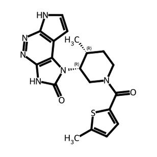 Cc1ccc(C(=O)N2CC[C@@H](C)[C@@H](n3c(=O)[nH]c4nnc5[nH]ccc5c43)C2)s1